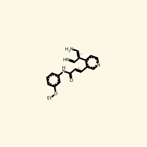 CCOc1cccc(NC(=O)/C=C/c2cnccc2/C(C=N)=C/N)c1